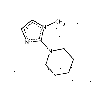 Cn1ccnc1N1CCCCC1